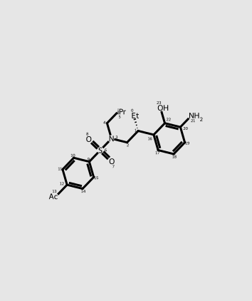 CC[C@@H](CN(CC(C)C)S(=O)(=O)c1ccc(C(C)=O)cc1)c1cccc(N)c1O